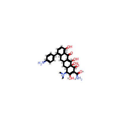 CN(C)C1C(O)=C(C(N)=O)C(=O)C2(O)C(O)=C3C(=O)c4c(O)ccc(-c5ccc(N)cc5)c4CC3CC12